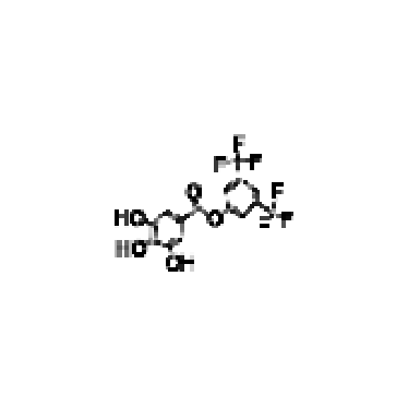 O=C(Oc1cc(C(F)(F)F)cc(C(F)(F)F)c1)c1cc(O)c(O)c(O)c1